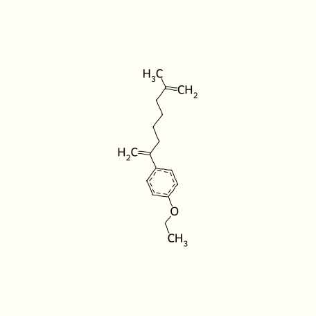 C=C(C)CCCCC(=C)c1ccc(OCC)cc1